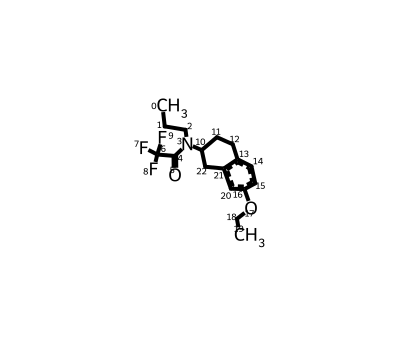 CCCN(C(=O)C(F)(F)F)C1CCc2ccc(OCC)cc2C1